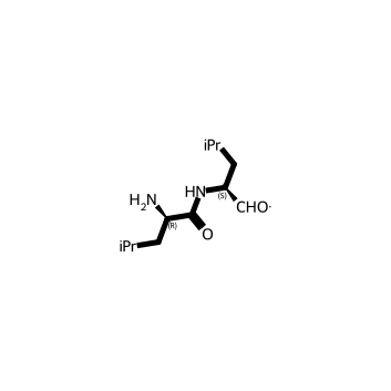 CC(C)C[C@@H]([C]=O)NC(=O)[C@H](N)CC(C)C